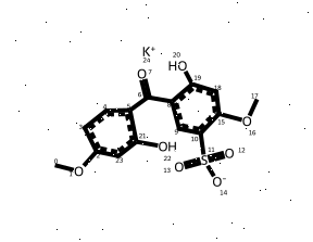 COc1ccc(C(=O)c2cc(S(=O)(=O)[O-])c(OC)cc2O)c(O)c1.[K+]